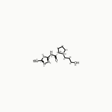 CC(C)(C)c1nnc(NC(=O)[C@@H]2CCCN2CCCO)s1